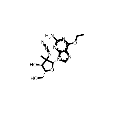 CCOc1nc(N)nc2c1ncn2[C@@H]1O[C@H](CO)[C@@H](O)C1(C)N=[N+]=[N-]